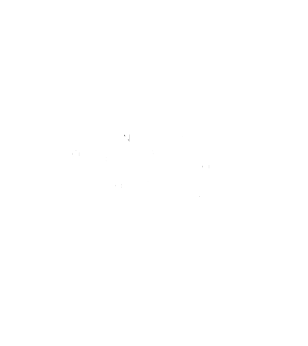 O=C(/C(=C1/OC(=O)N(Cc2ccccc2)C1=O)c1ccccc1)c1ccccc1